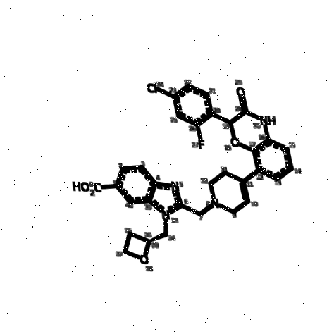 O=C(O)c1ccc2nc(CN3CC=C(c4cccc5c4OC(c4ccc(Cl)cc4F)C(=O)N5)CC3)n(C[C@@H]3CCO3)c2c1